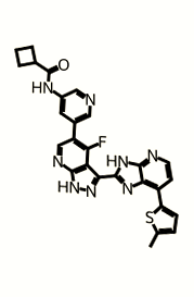 Cc1ccc(-c2ccnc3[nH]c(-c4n[nH]c5ncc(-c6cncc(NC(=O)C7CCC7)c6)c(F)c45)nc23)s1